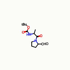 CC(NC(=O)OC(C)(C)C)C(=O)N1CCCC1C=O